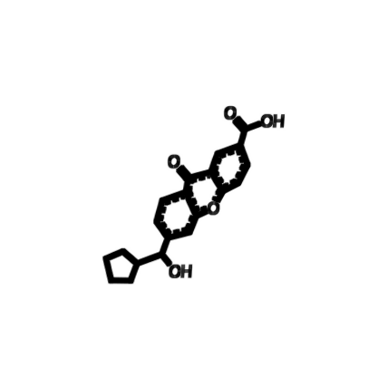 O=C(O)c1ccc2oc3cc(C(O)C4CCCC4)ccc3c(=O)c2c1